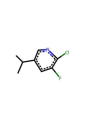 CC(C)c1cnc(Cl)c(F)c1